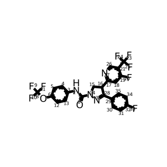 O=C(Nc1ccc(OC(F)(F)F)cc1)N1CC(c2cc(F)c(C(F)(F)F)cn2)C(c2ccc(F)cc2)=N1